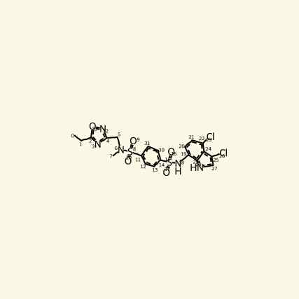 CCc1nc(CN(C)S(=O)(=O)c2ccc(S(=O)(=O)Nc3ccc(Cl)c4c(Cl)c[nH]c34)cc2)no1